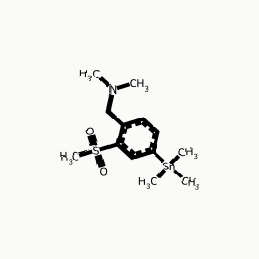 CN(C)Cc1cc[c]([Sn]([CH3])([CH3])[CH3])cc1S(C)(=O)=O